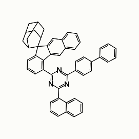 c1ccc(-c2ccc(-c3nc(-c4cccc5c4-c4cc6ccccc6cc4C54C5CC6CC(C5)CC4C6)nc(-c4cccc5ccccc45)n3)cc2)cc1